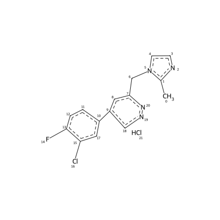 Cc1nccn1Cc1cc(-c2ccc(F)c(Cl)c2)cnn1.Cl